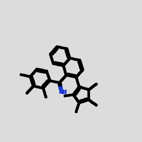 CC1=C(C)C(C)C(c2ccc3ccccc3c2C(=N)c2ccc(C)c(C)c2C)=C1C